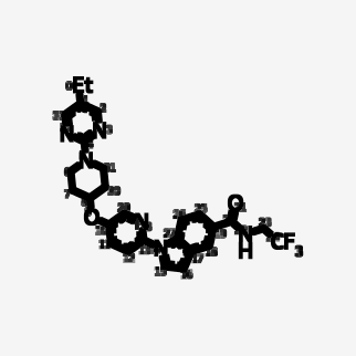 CCc1cnc(N2CCC(Oc3ccc(-n4ccc5cc(C(=O)NCC(F)(F)F)ccc54)nc3)CC2)nc1